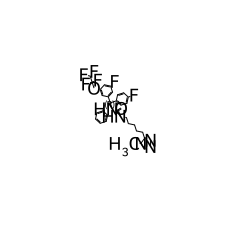 Cn1cnnc1CCCCCNC(=O)N[C@](Cc1ccccc1)(c1ccc(F)cc1)c1cc(F)cc(OC(F)(F)C(F)F)c1